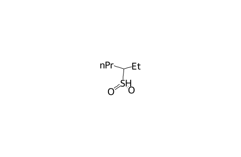 [CH2]CC(CCC)[SH](=O)=O